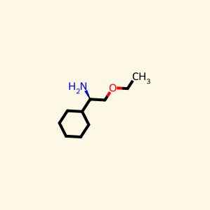 CCOC[C@H](N)C1CCCCC1